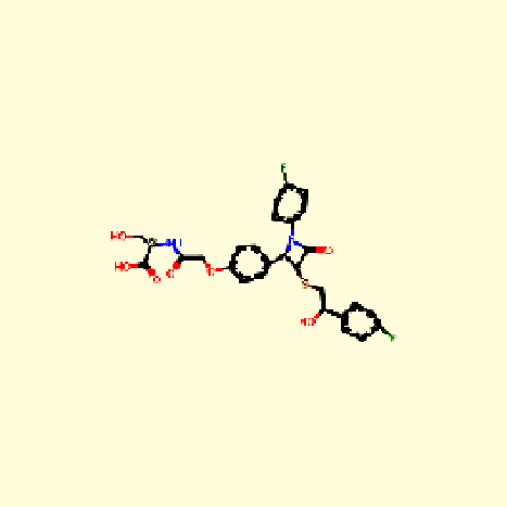 O=C(COc1ccc(C2C(SCC(O)c3ccc(F)cc3)C(=O)N2c2ccc(F)cc2)cc1)N[C@H](CO)C(=O)O